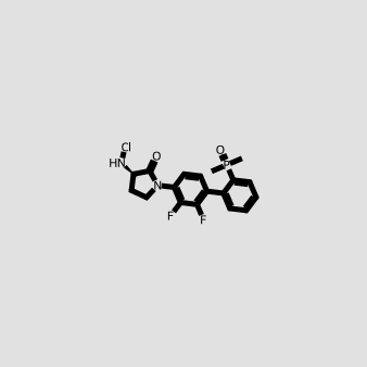 CP(C)(=O)c1ccccc1-c1ccc(N2CC[C@@H](NCl)C2=O)c(F)c1F